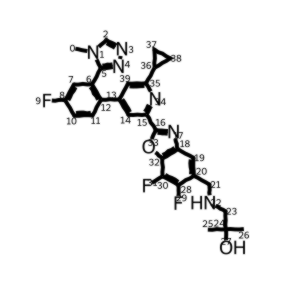 Cn1cnnc1-c1cc(F)ccc1-c1cc(-c2nc3cc(CNCC(C)(C)O)c(F)c(F)c3o2)nc(C2CC2)c1